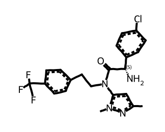 Cc1cc(N(CCc2ccc(C(F)(F)F)cc2)C(=O)[C@@H](N)c2ccc(Cl)cc2)n(C)n1